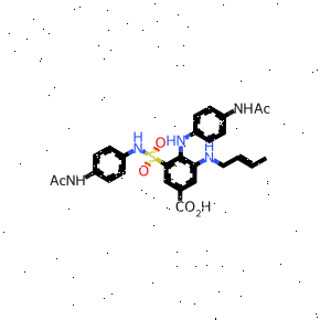 CC=CCNc1cc(C(=O)O)cc(S(=O)(=O)Nc2ccc(NC(C)=O)cc2)c1Nc1ccc(NC(C)=O)cc1